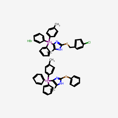 Br.Cc1ccc([PH](c2ccccc2)(c2ccccc2)c2nc(SCc3ccc(Cl)cc3)[nH]c2C)cc1.Cc1ccc([PH](c2ccccc2)(c2ccccc2)c2nc(Sc3ccccc3)[nH]c2C)cc1